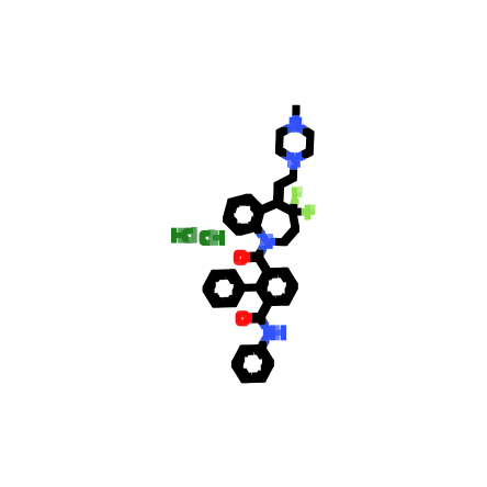 CN1CCN(CC=C2c3ccccc3N(C(=O)c3cccc(C(=O)Nc4ccccc4)c3-c3ccccc3)CCC2(F)F)CC1.Cl.Cl